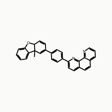 CC12C=C(c3ccc(-c4ccc5ccc6cccnc6c5n4)cc3)C=CC1Oc1ccccc12